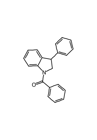 O=C(c1ccccc1)N1CC(c2ccccc2)c2ccccc21